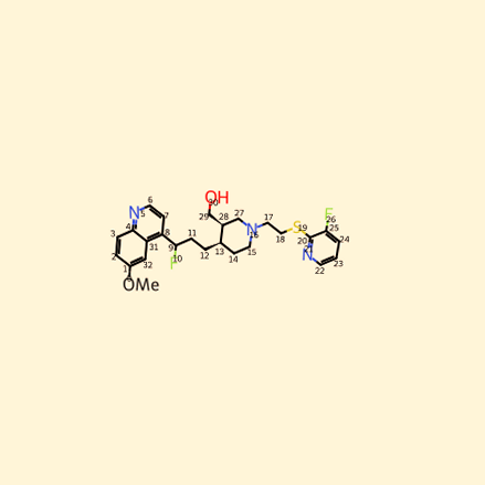 COc1ccc2nccc(C(F)CC[C@@H]3CCN(CCSc4ncccc4F)C[C@@H]3CO)c2c1